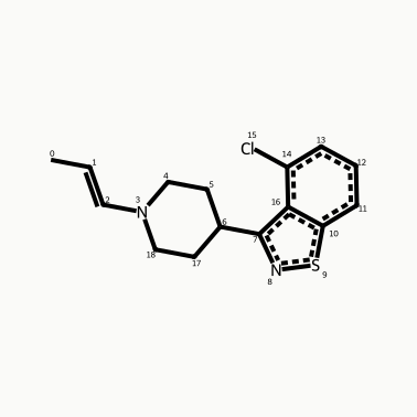 CC=CN1CCC(c2nsc3cccc(Cl)c23)CC1